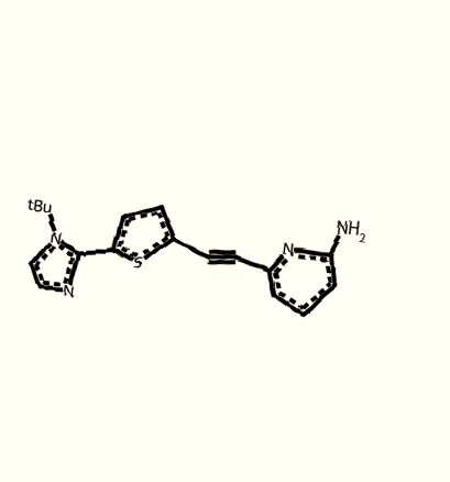 CC(C)(C)n1ccnc1-c1ccc(C#Cc2cccc(N)n2)s1